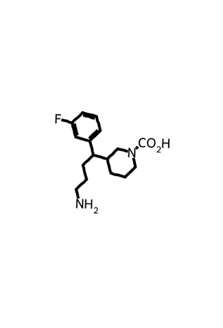 NCCCC(c1cccc(F)c1)C1CCCN(C(=O)O)C1